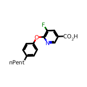 CCCCCc1ccc(Oc2ncc(C(=O)O)cc2F)cc1